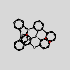 c1ccc(-c2cccc(-n3c4ccccc4n4c5ccccc5nc34)c2B2c3ccccc3Oc3ccccc32)cc1